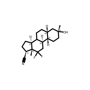 C[C@@]1(O)CC[C@H]2[C@H](CCC3[C@@H]2CC(F)(F)[C@]2(C)[C@@H](C#N)CC[C@@H]32)C1